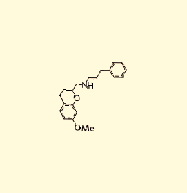 COc1ccc2c(c1)OC(CNCCCc1ccccc1)CC2